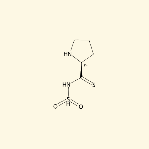 O=[SH](=O)NC(=S)[C@@H]1CCCN1